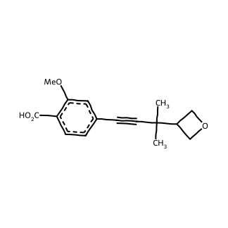 COc1cc(C#CC(C)(C)C2COC2)ccc1C(=O)O